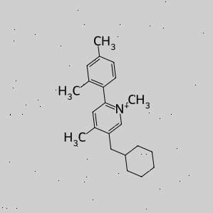 Cc1ccc(-c2cc(C)c(CC3CCCCC3)c[n+]2C)c(C)c1